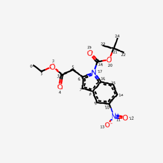 CCOC(=O)Cc1cc2cc([N+](=O)[O-])ccc2n1C(=O)OC(C)(C)C